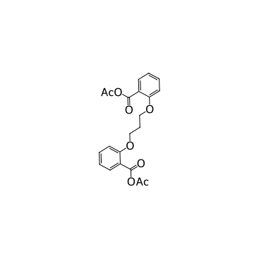 CC(=O)OC(=O)c1ccccc1OCCCOc1ccccc1C(=O)OC(C)=O